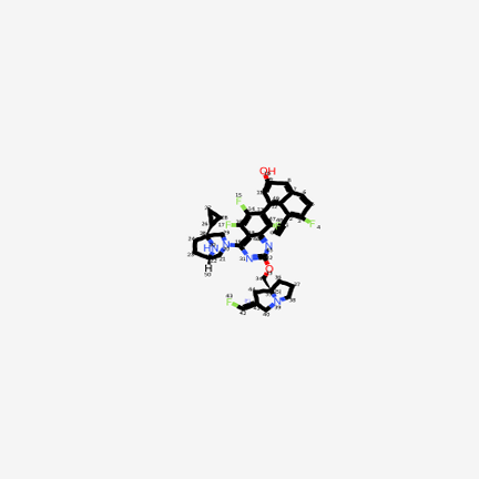 C#Cc1c(F)ccc2cc(O)cc(-c3c(F)c(F)c4c(N5C[C@@H]6CC[C@](C7CC7)(C5)N6)nc(OC[C@@]56CCCN5C/C(=C/F)C6)nc4c3F)c12